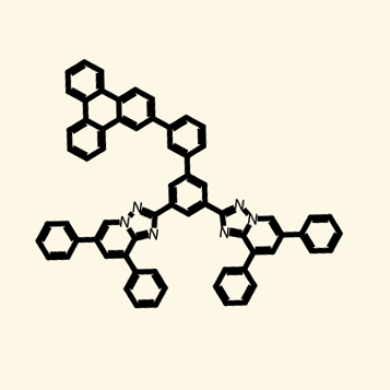 c1ccc(-c2cc(-c3ccccc3)c3nc(-c4cc(-c5cccc(-c6ccc7c8ccccc8c8ccccc8c7c6)c5)cc(-c5nc6c(-c7ccccc7)cc(-c7ccccc7)cn6n5)c4)nn3c2)cc1